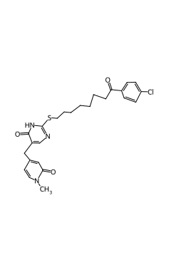 Cn1ccc(Cc2cnc(SCCCCCCCC(=O)c3ccc(Cl)cc3)[nH]c2=O)cc1=O